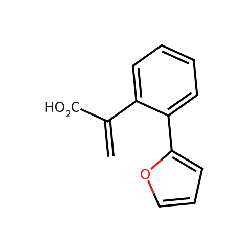 C=C(C(=O)O)c1ccccc1-c1ccco1